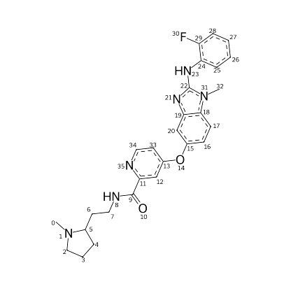 CN1CCCC1CCNC(=O)c1cc(Oc2ccc3c(c2)nc(Nc2ccccc2F)n3C)ccn1